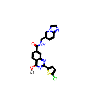 CCOc1nc(-c2ccc(Cl)s2)nc2cc(C(=O)NCc3ccc4nccn4c3)ccc12